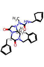 Cc1ccccc1CN1C[C@H]2N(C(=O)CN2N(C)C(=O)NCC2=CC=CCC2)[C@@H](Cc2ccccc2)C1=O